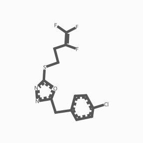 FC(F)=C(F)CCSc1nnc(Cc2ccc(Cl)cc2)o1